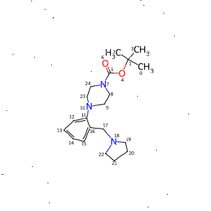 CC(C)(C)OC(=O)N1CCN(c2ccccc2CN2CCCC2)CC1